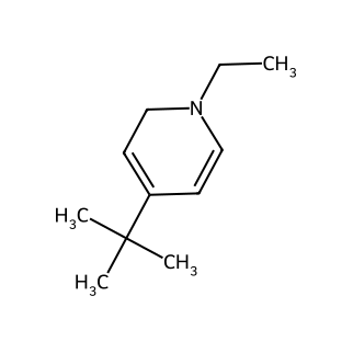 CCN1C=CC(C(C)(C)C)=CC1